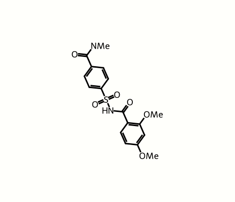 CNC(=O)c1ccc(S(=O)(=O)NC(=O)c2ccc(OC)cc2OC)cc1